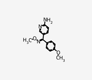 CON=C(c1ccc(OC)cc1)c1ccc(N)nc1